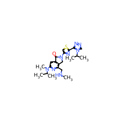 CNCc1nc(N(C)C(C)C)cc2c1CN(c1csc(-c3nncn3C(C)C)n1)C2=O